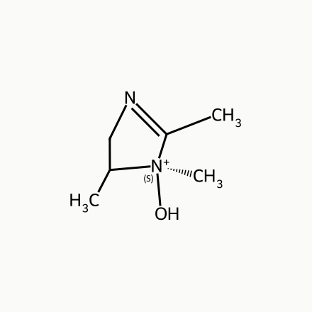 CC1=NCC(C)[N@+]1(C)O